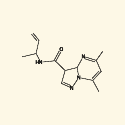 C=CC(C)NC(=O)C1C=NN2C(C)=CC(C)=NC12